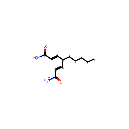 CCCCCC(C=CC(N)=O)C=CC(N)=O